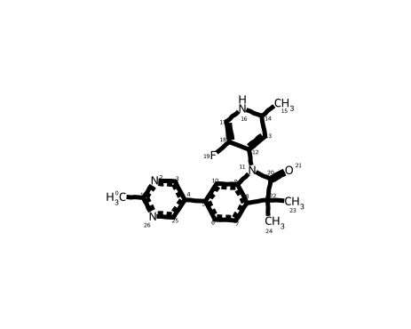 Cc1ncc(-c2ccc3c(c2)N(C2=CC(C)NC=C2F)C(=O)C3(C)C)cn1